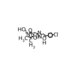 Cc1c(C)n(CCO)c(=O)n(Cc2nc(C[C@H](O)c3ccc(Cl)cc3)no2)c1=O